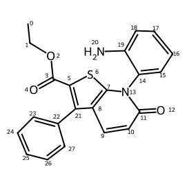 CCOC(=O)c1sc2c(ccc(=O)n2-c2ccccc2N)c1-c1ccccc1